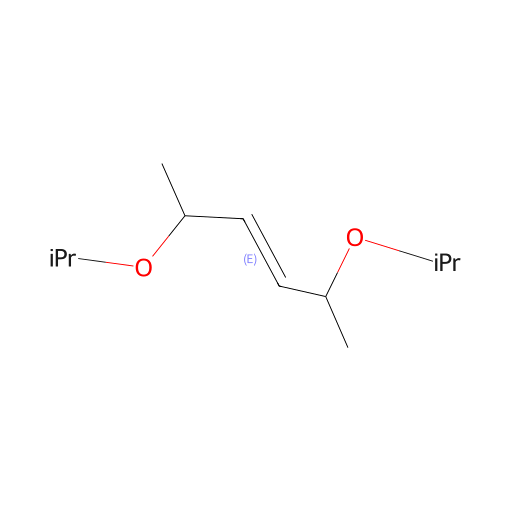 CC(C)OC(C)/C=C/C(C)OC(C)C